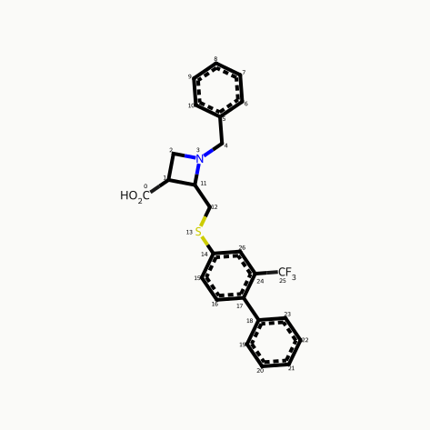 O=C(O)C1CN(Cc2ccccc2)C1CSc1ccc(-c2ccccc2)c(C(F)(F)F)c1